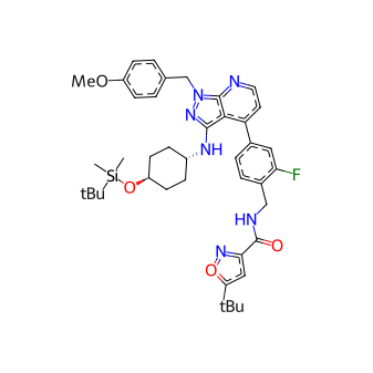 COc1ccc(Cn2nc(N[C@H]3CC[C@H](O[Si](C)(C)C(C)(C)C)CC3)c3c(-c4ccc(CNC(=O)c5cc(C(C)(C)C)on5)c(F)c4)ccnc32)cc1